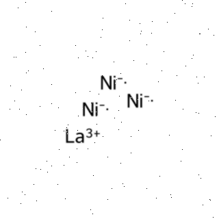 [La+3].[Ni-].[Ni-].[Ni-]